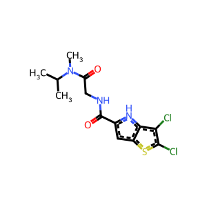 CC(C)N(C)C(=O)CNC(=O)c1cc2sc(Cl)c(Cl)c2[nH]1